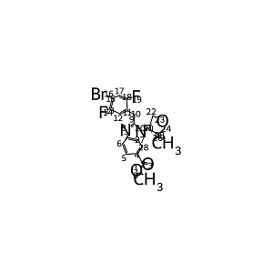 COC(=O)c1ccc2nc(Cc3cc(F)c(Br)cc3F)n([C@H]3COC[C@H]3C)c2c1